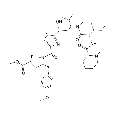 CCC(C)[C@H](NC(=O)[C@H]1CCCCN1C)C(=O)N(C)C(C[C@@H](O)c1nc(C(=O)N[C@@H](Cc2ccc(OC)cc2)C[C@H](C)C(=O)OC)cs1)C(C)C